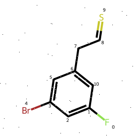 Fc1cc(Br)cc(CC=S)c1